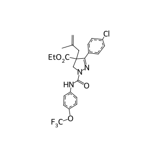 C=C(C)CC1(C(=O)OCC)CN(C(=O)Nc2ccc(OC(F)(F)F)cc2)N=C1c1ccc(Cl)cc1